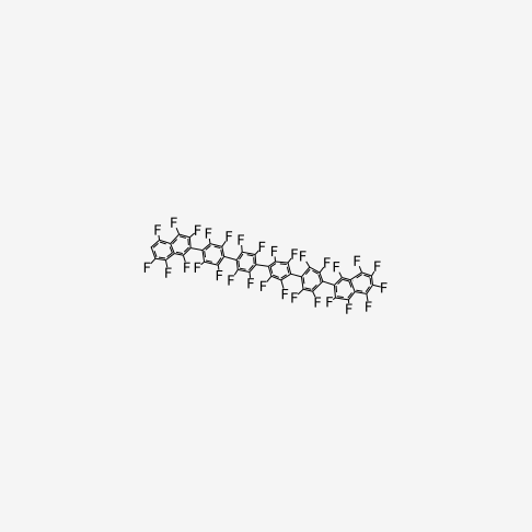 Fc1cc(F)c2c(F)c(F)c(-c3c(F)c(F)c(-c4c(F)c(F)c(-c5c(F)c(F)c(-c6c(F)c(F)c(-c7c(F)c(F)c8c(F)c(F)c(F)c(F)c8c7F)c(F)c6F)c(F)c5F)c(F)c4F)c(F)c3F)c(F)c2c1F